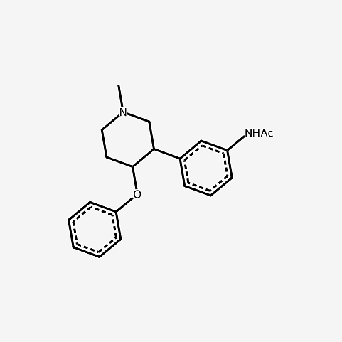 CC(=O)Nc1cccc(C2CN(C)CCC2Oc2ccccc2)c1